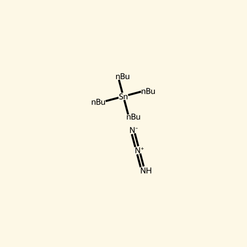 CCC[CH2][Sn]([CH2]CCC)([CH2]CCC)[CH2]CCC.[N-]=[N+]=N